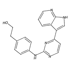 OCCc1ccc(Nc2nccc(-c3c[nH]c4ncccc34)n2)cc1